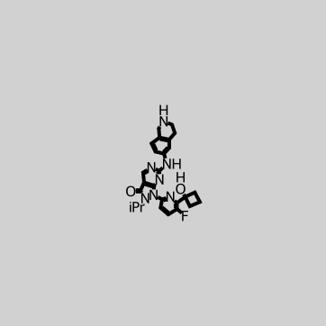 CC(C)n1c(=O)c2cnc(Nc3ccc4c(c3)CCNC4)nc2n1-c1ccc(F)c(C2(O)CCC2)n1